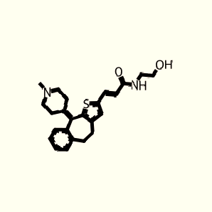 CN1CCC(=C2c3ccccc3CCc3cc(C=CC(=O)NCCO)sc32)CC1